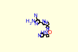 N#Cc1cc(-c2cc3n(n2)CCC32CN(C(=O)NC3(c4ccncc4)CCC3)C2)cnc1N